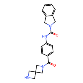 O=C(Nc1ccc(C(=O)N2CC3(CNC3)C2)cc1)N1Cc2ccccc2C1